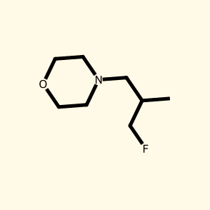 CC(CF)CN1CCOCC1